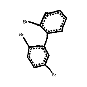 Brc1ccc(Br)c(-c2ccccc2Br)c1